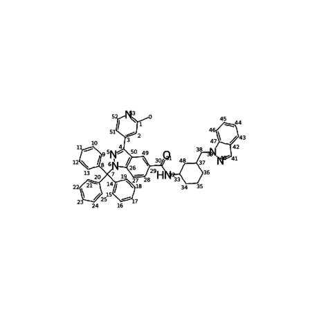 Cc1cc(-c2nn(C(c3ccccc3)(c3ccccc3)c3ccccc3)c3ccc(C(=O)NC4CCCC(Cn5ncc6ccccc65)C4)cc23)ccn1